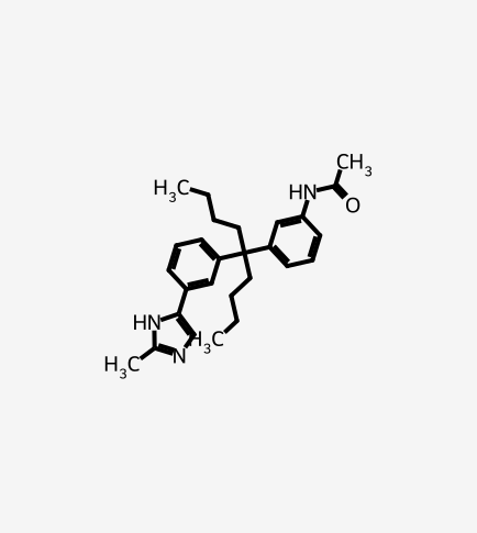 CCCCC(CCCC)(c1cccc(NC(C)=O)c1)c1cccc(-c2cnc(C)[nH]2)c1